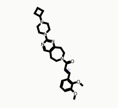 COc1cccc(/C=C/C(=O)N2CCc3cnc(N4CCN(C5CCC5)CC4)nc3CC2)c1OC